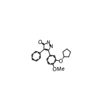 COc1ccc(C2=C(c3ccccc3)C(=O)N=N2)cc1OC1CCCC1